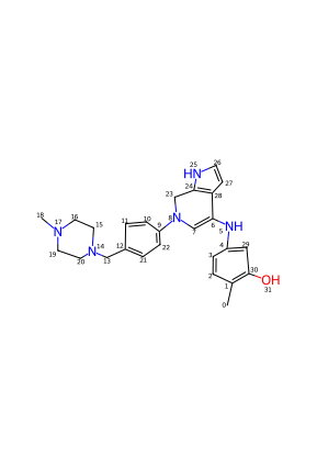 Cc1ccc(NC2=CN(c3ccc(CN4CCN(C)CC4)cc3)Cc3[nH]ccc32)cc1O